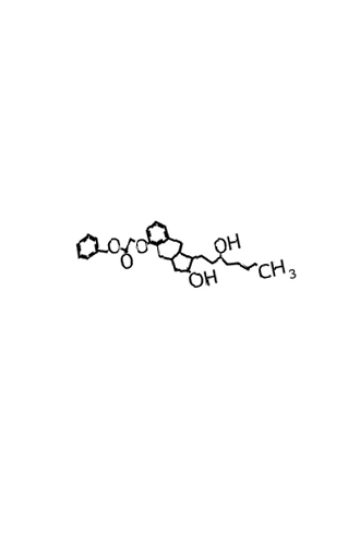 CCCCCC(O)CCC1C(O)CC2Cc3c(cccc3OCC(=O)OCc3ccccc3)CC21